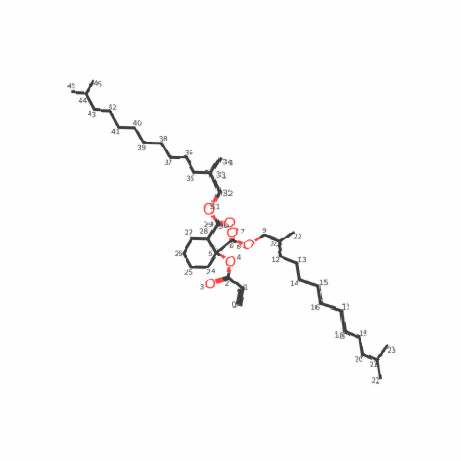 C=CC(=O)OC1(C(=O)OCC(C)CCCCCCCCCC(C)C)CCCCC1C(=O)OCC(C)CCCCCCCCCC(C)C